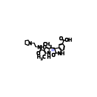 Cc1[nH]c(/C=C2\C(=O)Nc3ccc(C(=O)O)cc32)c(C)c1C(=O)NCCN1CCCC1